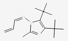 C=C/C=N\n1c(C)nc(C(C)(C)C)c1C(C)(C)C